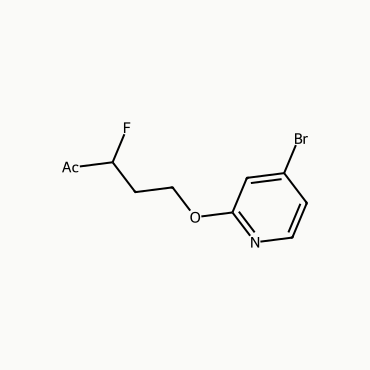 CC(=O)C(F)CCOc1cc(Br)ccn1